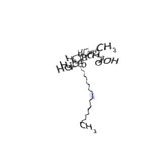 CCCCCCCC/C=C\CCCCCCCC(=O)C1C[C@@H](O)C[C@H]2CC[C@H]3[C@@H]4CC[C@H]([C@H](C)CCC(=O)O)[C@@]4(C)CC[C@@H]3[C@@]12C